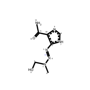 CN(CO)/N=N/c1[nH]cnc1C(N)=O